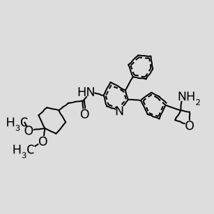 COC1(OC)CCC(CC(=O)Nc2cnc(-c3ccc(C4(N)COC4)cc3)c(-c3ccccc3)c2)CC1